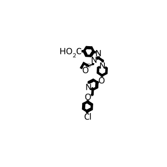 O=C(O)c1ccc2nc(CN3CCC(Oc4ccnc(COc5ccc(Cl)cc5)c4)CC3)n(C[C@@H]3CCO3)c2c1